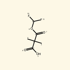 CC(C)(C(=O)O)C(=O)OC(F)F